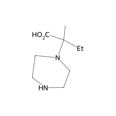 CCC(C)(C(=O)O)N1CCNCC1